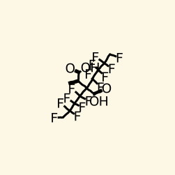 C=C(C(=O)O)C(C(=O)O)(C(F)(F)C(F)(F)C(F)(F)CF)C(F)(F)C(F)(F)C(F)(F)CF